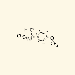 C[C@@H](N=C=O)c1ccc(OC(F)(F)F)cc1